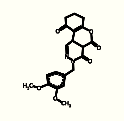 COc1ccc(CN2N=CC3C4=C(CCCC4=O)OC(=O)C3C2=O)cc1OC